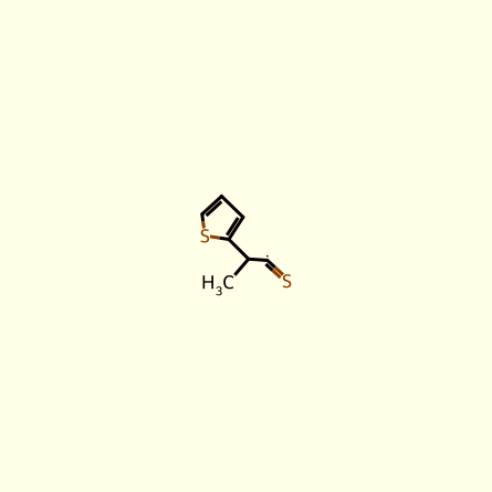 CC([C]=S)c1cccs1